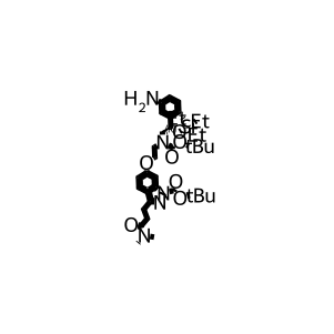 CC[Si](CC)(CC)O[C@@H](CN(CCOc1ccc2c(CCC(=O)N(C)C)nn(C(=O)OC(C)(C)C)c2c1)C(=O)OC(C)(C)C)c1cccc(N)c1